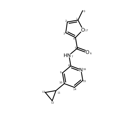 Cc1ccc(C(=O)Nc2cc(C3CC3)ccn2)o1